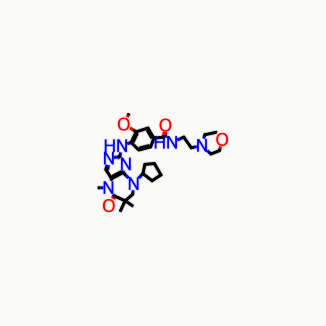 COc1cc(C(=O)NCCN2CCOCC2)ccc1Nc1ncc2c(n1)N(C1CCCC1)CC(C)(C)C(=O)N2C